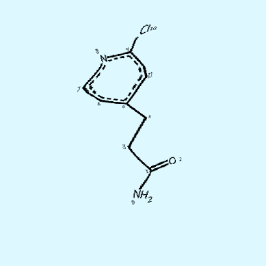 NC(=O)C[CH]c1ccnc(Cl)c1